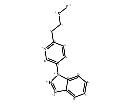 FSCCc1ccc(-n2nnc3ccccc32)cn1